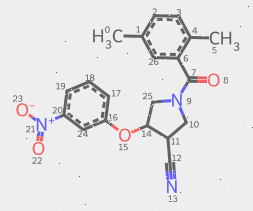 Cc1ccc(C)c(C(=O)N2CC(C#N)C(Oc3cccc([N+](=O)[O-])c3)C2)c1